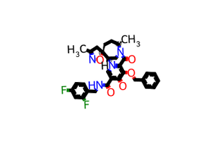 CC1=NO[C@]2(CC[C@H](C)N3C[C@H]2n2cc(C(=O)NCc4ccc(F)cc4F)c(=O)c(OCc4ccccc4)c2C3=O)C1